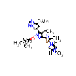 COc1cc(-c2c(CC(F)(F)F)c(-c3nc(C)c(N4C[C@@H]5C[C@H]4CN5C(=O)O)s3)nn2COCC[Si](C)(C)C)cn2ncnc12